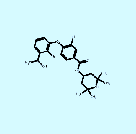 CC(O)c1cccc(Oc2ccc(C(=O)NC3CC(C)(C)NC(C)(C)C3)cc2Cl)c1Br